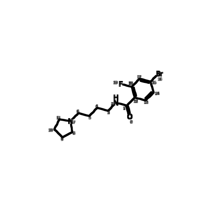 O=C(NCCCCN1CCCC1)c1ccc(Br)cc1F